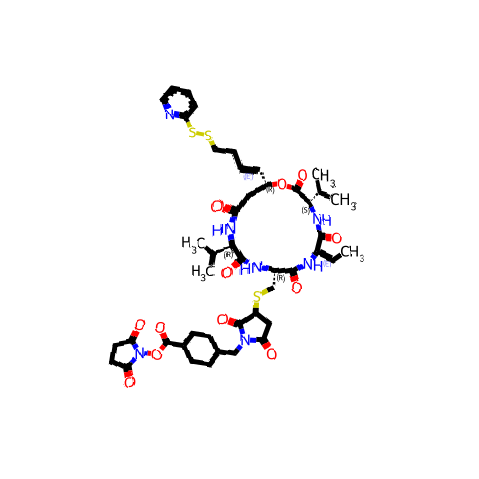 C/C=C1/NC(=O)[C@H](CSC2CC(=O)N(CC3CCC(C(=O)ON4C(=O)CCC4=O)CC3)C2=O)NC(=O)[C@@H](C(C)C)NC(=O)C[C@H](/C=C/CCSSc2ccccn2)OC(=O)[C@H](C(C)C)NC1=O